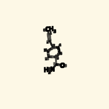 CC#Cc1ccc(C(N)=O)cc1